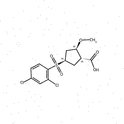 CO[C@@H]1C[C@H](S(=O)(=O)c2ccc(Cl)cc2Cl)C[C@H]1C(=O)O